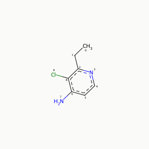 CCc1nccc(N)c1Cl